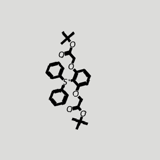 CC(C)(C)OC(=O)COc1cccc(OCC(=O)OC(C)(C)C)c1[S+](c1ccccc1)c1ccccc1